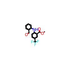 COC(=O)c1cc(C(F)(F)F)ccc1Nc1ccccc1C=O